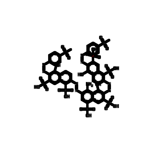 CS(=O)(=O)c1ccc(/N=N\c2c(S(=O)(=O)O)cc3c(S(=O)(=O)O)c(N=Nc4cc(S(=O)(=O)O)c5cc(S(=O)(=O)O)c(/N=N\c6ccc7c(O)c(/N=N\c8ccc(S(C)(=O)=O)cc8)c(S(=O)(=O)O)cc7c6S(=O)(=O)O)c(O)c5c4N)ccc3c2O)cc1